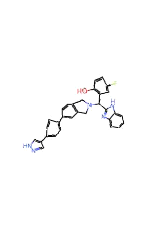 Oc1ccc(F)cc1C(c1nc2ccccc2[nH]1)N1Cc2ccc(-c3ccc(-c4cn[nH]c4)cc3)cc2C1